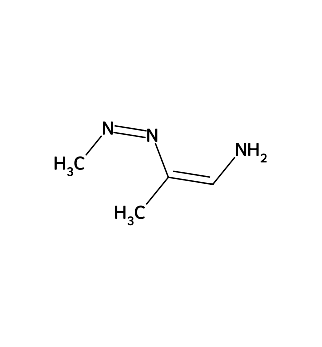 C/N=N\C(C)=C/N